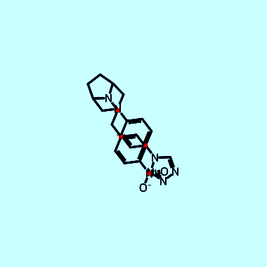 O=[N+]([O-])c1ccc(CCN2C3CCC2CN(c2[c]cc(-n4cnnn4)cc2)C3)cc1